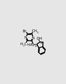 Cc1nc([AsH][C@@H]2c3ccccc3C[C@@H]2O)c(C)nc1Br